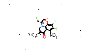 CCOC(=O)C1CN2c3c(c(F)c(F)c([N+](=O)[O-])c3C1=O)OC[C@@H]2CF